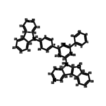 c1ccc(-c2nc(-c3ccc(-n4c5ccccc5c5ccccc54)cc3)nc(-n3c4ccncc4c4c5ccccc5oc43)n2)cc1